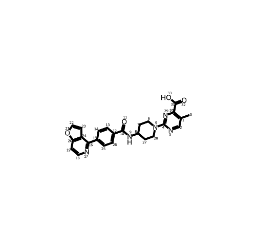 Cc1cnc(N2CCC(NC(=O)c3ccc(-c4nccc5occc45)cc3)CC2)nc1C(=O)O